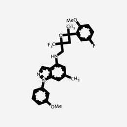 COc1cccc(-n2ncc3c(NCC4(C(F)(F)F)CC(C)(c5cc(F)ccc5OC)O4)cc(C)cc32)c1